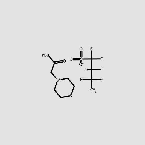 CCCCC(=O)C[S+]1CCSCC1.O=S(=O)([O-])C(F)(F)C(F)(F)C(F)(F)C(F)(F)F